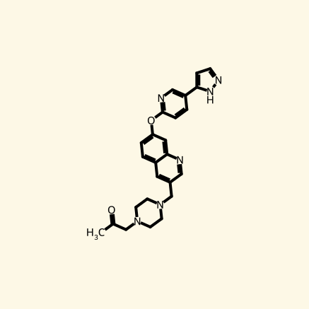 CC(=O)CN1CCN(Cc2cnc3cc(Oc4ccc(-c5ccn[nH]5)cn4)ccc3c2)CC1